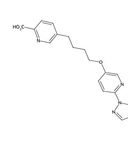 O=C(O)c1ccc(CCCCOc2ccc(-n3cncn3)nc2)cn1